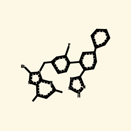 CCc1nc2c(C)cc(C)nc2n1Cc1ccc(-c2cc(-c3ccccc3)ccc2-c2nn[nH]n2)c(F)c1